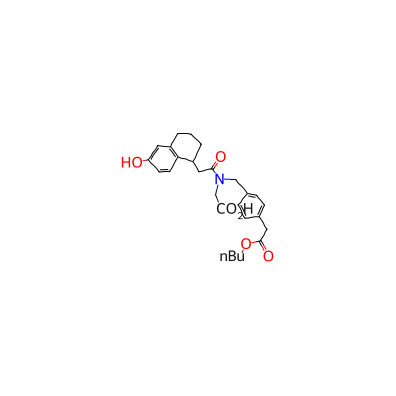 CCCCOC(=O)Cc1ccc(CN(CC(=O)O)C(=O)CC2CCCc3cc(O)ccc32)cc1